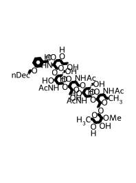 CCCCCCCCCCCOc1cccc(C(=O)NC2C(OC3C(O)C(NC(C)=O)[C@H](OC4C(CO)OC(OC5C(O)C(NC(C)=O)[C@H](OC6C(COC7OC(C)C(O)C(O)C7OC)OC(C)C(NC(C)=O)C6O)O[C@H]5CO)C(NC(C)=O)C4O)O[C@H]3CO)OC(CO)C(O)C2O)c1